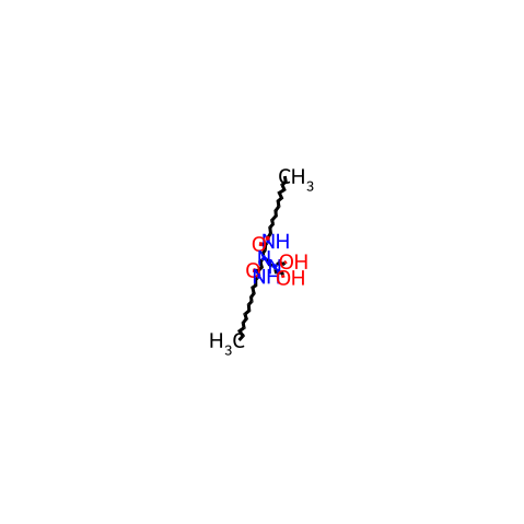 CCCCCCCCCCCCCCCNC(=O)CCN(CCC(=O)NCCCCCCCCCCCCCCC)CCN(CCO)CCO